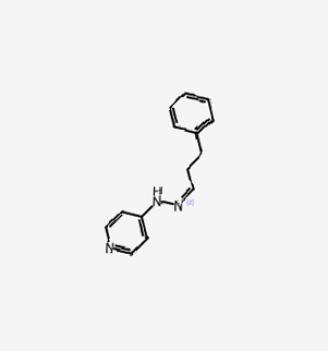 C(/CCc1ccccc1)=N/Nc1ccncc1